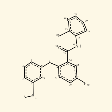 CSc1cccc(Cc2ncc(F)cc2C(=O)Nc2cccnc2C)c1